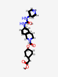 COC(=O)CC1CCC(OC(=O)N2CCc3cc(NC(=O)Nc4ccncc4)ccc3C2)CC1